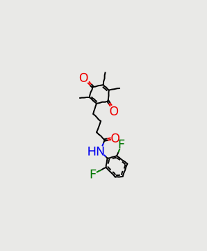 CC1=C(C)C(=O)C(CCCC(=O)Nc2c(F)cccc2F)=C(C)C1=O